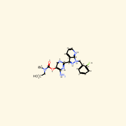 CCC(C)N(CC(=O)O)C(=O)Oc1cnc(-c2nn(Cc3ccccc3F)c3ncccc23)nc1N